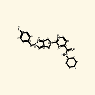 O=C(NC1CCCCC1)c1ccnc(N2Cc3cn(Cc4ccc(F)cc4)nc3C2)n1